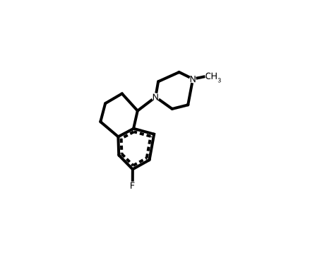 CN1CCN(C2CCCc3cc(F)ccc32)CC1